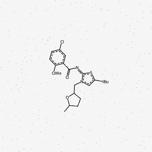 COc1ccc(Cl)cc1C(=O)N=c1sc(C(C)(C)C)cn1CC1CCC(C)O1